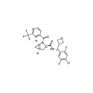 O=C(N[C@@H](c1cc(F)c(Cl)cc1F)C1COC1)[C@H]1C[C@H]2C[C@H]2N1C(=O)c1ccnc(C(F)(F)F)n1